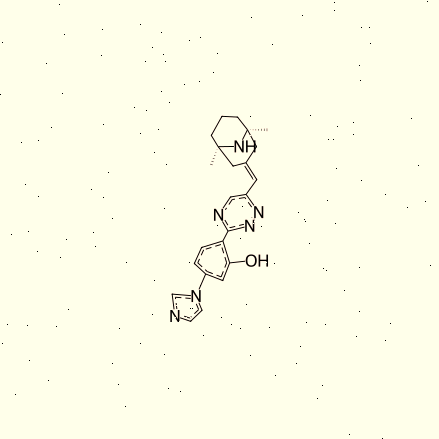 C[C@]12CCC[C@](C)(C/C(=C\c3cnc(-c4ccc(-n5ccnc5)cc4O)nn3)C1)N2